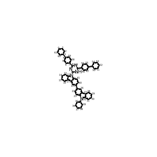 c1ccc(-c2ccc(C3=NC(n4c5ccccc5c5cc(-c6ccc7c(c6)c6ccccc6n7-c6ccccc6)ccc54)NC(c4ccc(-c5ccccc5)cc4)=N3)cc2)cc1